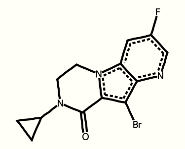 O=C1c2c(Br)c3ncc(F)cc3n2CCN1C1CC1